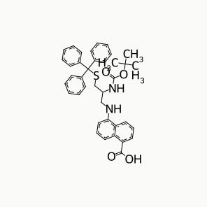 CC(C)(C)OC(=O)NC(CNc1cccc2c(C(=O)O)cccc12)CSC(c1ccccc1)(c1ccccc1)c1ccccc1